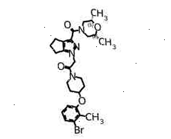 Cc1c(Br)cccc1OC1CCN(C(=O)Cn2nc(C(=O)N3C[C@@H](C)O[C@@H](C)C3)c3c2CCC3)CC1